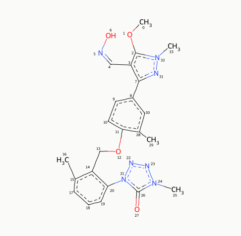 COc1c(/C=N\O)c(-c2ccc(OCc3c(C)cccc3-n3nnn(C)c3=O)c(C)c2)nn1C